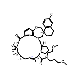 COCCCN(CCOC)C(=O)[C@H]1/C(F)=C/C[C@H](C)[C@@H](C)S(=O)(=O)NC(=O)c2ccc3c(c2)N(C[C@@H]2CCCN21)C[C@@]1(CCCc2cc(Cl)ccc21)CO3